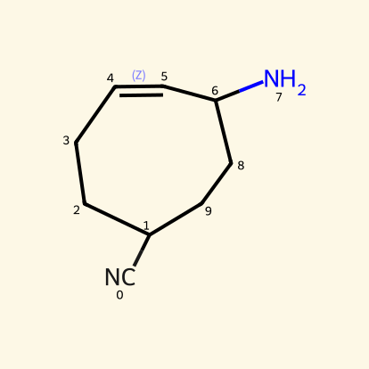 N#CC1CC/C=C\C(N)CC1